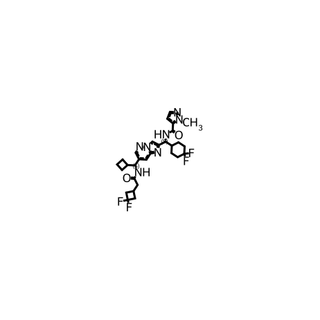 Cn1nccc1C(=O)N[C@H](c1cn2ncc([C@@H](NC(=O)CC3CC(F)(F)C3)C3CCC3)cc2n1)C1CCC(F)(F)CC1